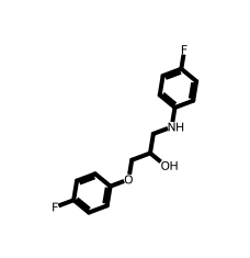 OC(CNc1ccc(F)cc1)COc1ccc(F)cc1